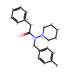 Cc1ccc(CN(C(=O)Cc2ccccc2)N2CCCCC2)cc1